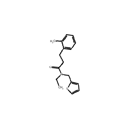 CCN(Cc1cccs1)C(=O)CCc1ccccc1C